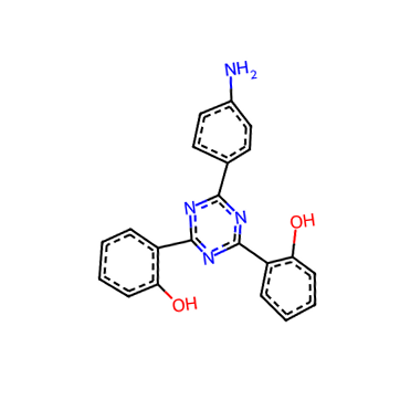 Nc1ccc(-c2nc(-c3ccccc3O)nc(-c3ccccc3O)n2)cc1